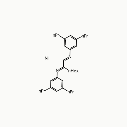 CCCCCCC(/C=N/c1cc(CCC)cc(CCC)c1)=N\c1cc(CCC)cc(CCC)c1.[Ni]